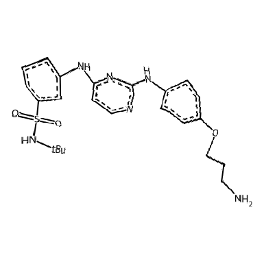 CC(C)(C)NS(=O)(=O)c1cccc(Nc2ccnc(Nc3ccc(OCCCN)cc3)n2)c1